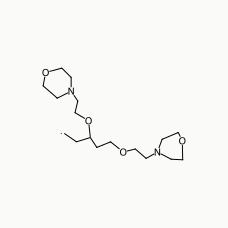 [CH2]CC(CCOCCN1CCOCC1)OCCN1CCOCC1